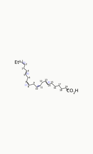 CC/C=C\C/C=C/C/C=C\C/C=C\C/C=C/CCCCCC(=O)O